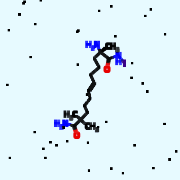 CC(C)(CCC/C=C/CCC[C@](C)(N)C(=O)NI)C(N)=O